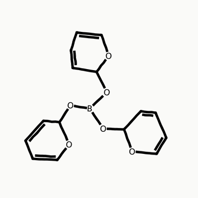 C1=COC(OB(OC2C=CC=CO2)OC2C=CC=CO2)C=C1